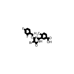 Cc1ccc(C(=O)O)cc1-c1nc(OCc2ccc(F)cc2F)c(Br)c(=O)[nH]1